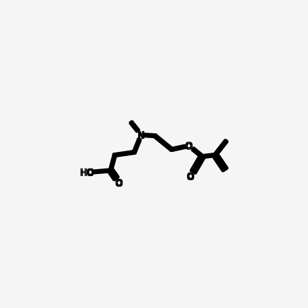 C=C(C)C(=O)OCCN(C)CCC(=O)O